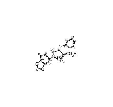 CN(C(=O)[C@H](Cc1ccccc1)N(C(=O)O)C(C)(C)C)c1ccc2c(c1)OCO2